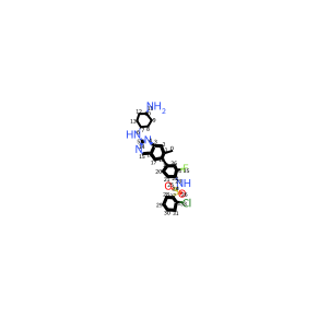 Cc1cc2nc(N[C@H]3CC[C@H](N)CC3)ncc2cc1-c1ccc(NS(=O)(=O)c2ccccc2Cl)c(F)c1